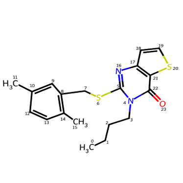 CCCCn1c(SCc2cc(C)ccc2C)nc2ccsc2c1=O